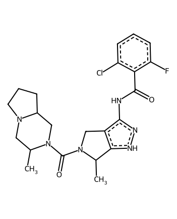 CC1CN2CCCC2CN1C(=O)N1Cc2c(NC(=O)c3c(F)cccc3Cl)n[nH]c2C1C